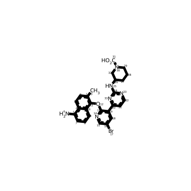 Cc1ccc2c(N)cccc2c1Oc1ncc(Br)cc1-c1ccnc(NC2CCCN(C(=O)O)C2)n1